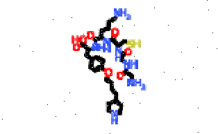 NCCCCC(NC(=O)C(CS)NC(=O)CNC(=O)CN)C(=O)NC(Cc1ccc(OCCCCC2CCNCC2)cc1)C(=O)O